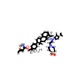 C=C(C)[C@@H]1CC[C@@](CC[C@]2(C)CCCC3[C@@]4(C)CC=C(C5=CCC(COc6cc(C)sn6)(C(=O)O)CC5)C(C)(C)C4CC[C@]32C)(NCCN2CCS(=O)(=O)CC2)C1C